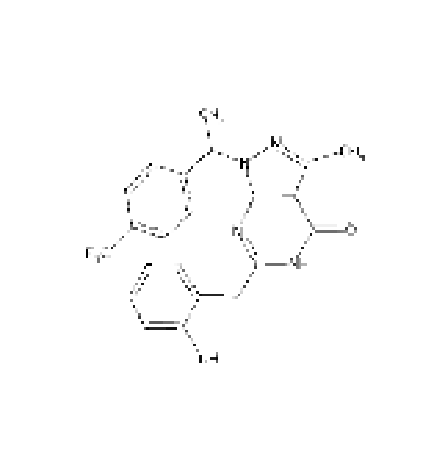 Cc1nn(C(C)c2ccc(C(F)(F)F)cc2)c2nc(Cc3ccccc3O)[nH]c(=O)c12